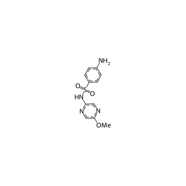 COc1cnc(NS(=O)(=O)c2ccc(N)cc2)cn1